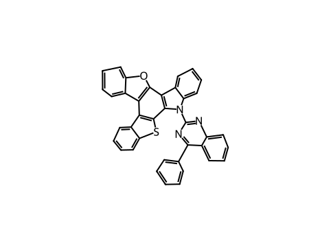 c1ccc(-c2nc(-n3c4ccccc4c4c5oc6ccccc6c5c5c6ccccc6sc5c43)nc3ccccc23)cc1